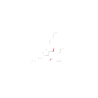 CCCCCCC1CC(CCCCC)C(C(=O)OCC(C)C)C1C(=O)OCC(C)C